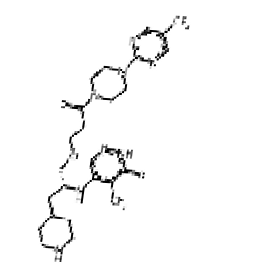 O=C(CCOC[C@@H](CC1CCNCC1)Nc1cn[nH]c(=O)c1C(F)(F)F)N1CCN(c2ncc(C(F)(F)F)cn2)CC1